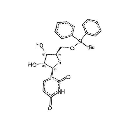 CC(C)(C)[Si](OC[C@H]1S[C@@H](n2ccc(=O)[nH]c2=O)[C@H](O)[C@@H]1O)(c1ccccc1)c1ccccc1